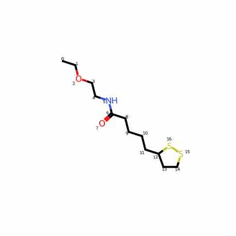 CCOCCNC(=O)CCCCC1CCSS1